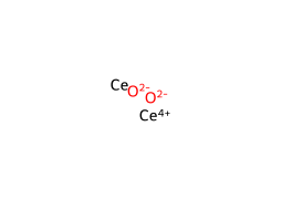 [Ce+4].[Ce].[O-2].[O-2]